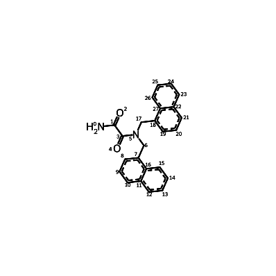 NC(=O)C(=O)N(Cc1cccc2ccccc12)Cc1cccc2ccccc12